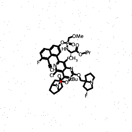 C#Cc1c(F)ccc2cc(OP(=O)(COC)N[C@@H](C)C(=O)OC(C)C)cc(-c3nc(Cl)c4c(N5CC6CCC(C5)N6C(=O)OC(C)(C)C)nc(OCC56CCCN5C[C@H](F)C6)nc4c3F)c12